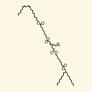 CCCCC/C=C\C/C=C\CCCCCCCCOC(=O)CCCCCCCOC(=O)CCN(CCC(=O)OCCCCCCCC(=O)OCC(CCCCCCCC)CCCCCCCC)CCN(C)C